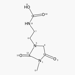 CN1C(=O)CN(CCNC(=O)O)C1=O